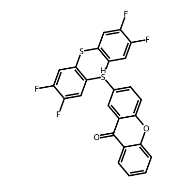 O=c1c2ccccc2oc2ccc([SH]3c4cc(F)c(F)cc4Sc4cc(F)c(F)cc43)cc12